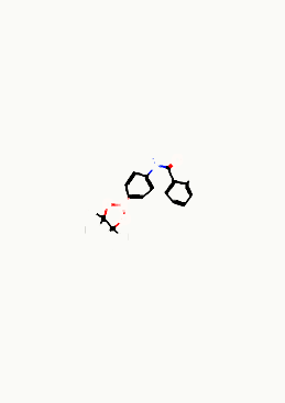 Cc1ccccc1C(=O)N(C)c1ccc(B2OC(C)(C)C(C)(C)O2)cc1